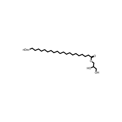 CCCCCCCCCCCCCCCCCCCCCCCCCCCCCC(=O)OCC(O)CO